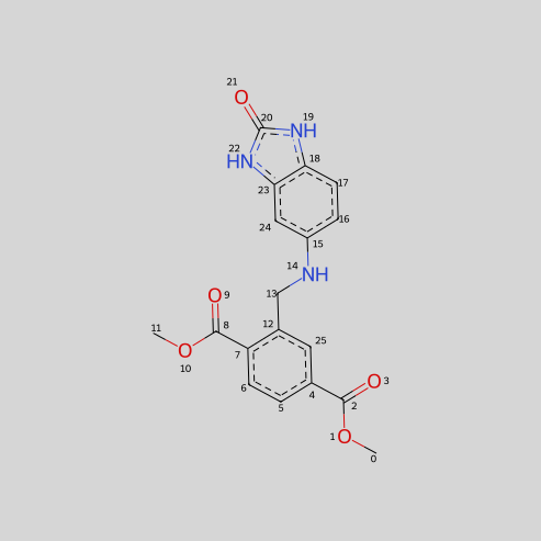 COC(=O)c1ccc(C(=O)OC)c(CNc2ccc3[nH]c(=O)[nH]c3c2)c1